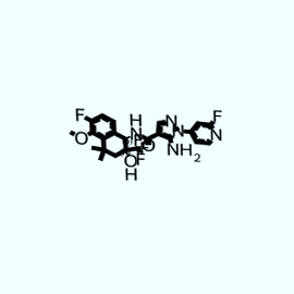 COc1c(F)ccc2c1C(C)(C)C[C@](O)(C(F)(F)F)[C@H]2NC(=O)c1cnn(-c2ccnc(F)c2)c1N